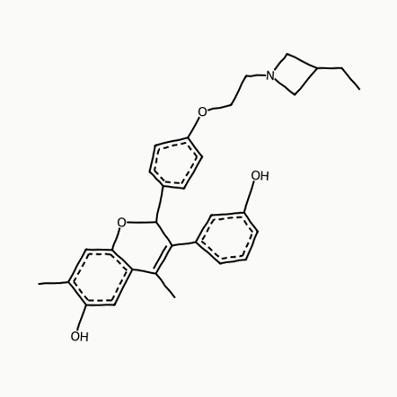 CCC1CN(CCOc2ccc(C3Oc4cc(C)c(O)cc4C(C)=C3c3cccc(O)c3)cc2)C1